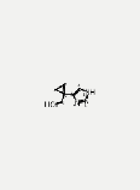 OCC1(c2c[nH]nn2)CC1